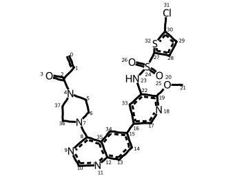 C=CC(=O)N1CCN(c2ncnc3ccc(-c4cnc(OC)c(NS(=O)(=O)c5ccc(Cl)s5)c4)cc23)CC1